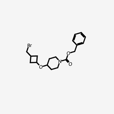 O=C(OCc1ccccc1)N1CCC(OC2CC(CBr)C2)CC1